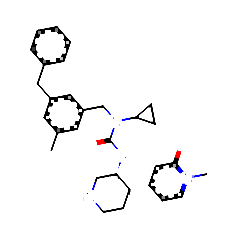 Cc1cc(Cc2ccccc2)cc(CN(C(=O)N[C@@H]2CNCC[C@H]2c2ccn(C)c(=O)c2)C2CC2)c1